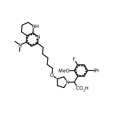 COc1c(F)cc(C(C)C)cc1C(C(=O)O)N1CC[C@@H](OCCCCCc2cc(N(C)C)c3c(n2)NCCC3)C1